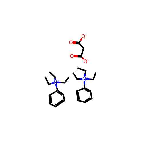 CC[N+](CC)(CC)c1ccccc1.CC[N+](CC)(CC)c1ccccc1.O=C([O-])CC(=O)[O-]